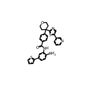 Nc1ccc(-c2cccs2)cc1NC(=O)c1ccc(C2(c3ncc(-c4cccnc4)s3)CCOCC2)cc1